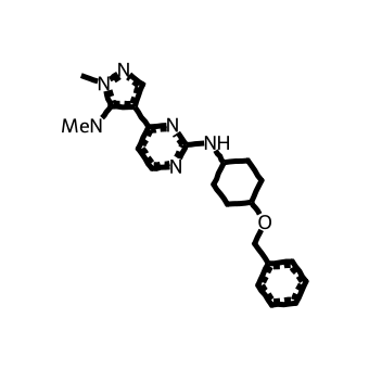 CNc1c(-c2ccnc(NC3CCC(OCc4ccccc4)CC3)n2)cnn1C